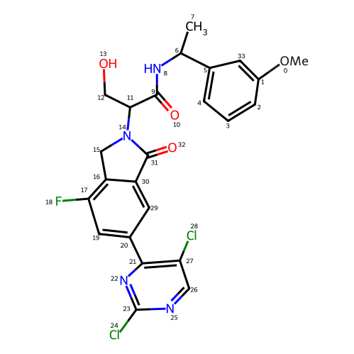 COc1cccc(C(C)NC(=O)C(CO)N2Cc3c(F)cc(-c4nc(Cl)ncc4Cl)cc3C2=O)c1